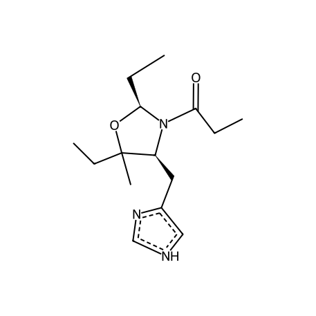 CCC(=O)N1[C@H](CC)OC(C)(CC)[C@@H]1Cc1c[nH]cn1